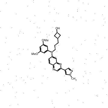 COc1cc(OC)cc(N(CCCC2CC(O)C2)c2ccc3ncc(-c4cnn(C)c4)nc3c2)c1